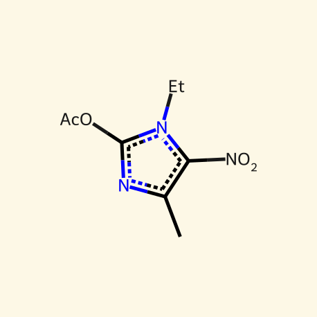 CCn1c(OC(C)=O)nc(C)c1[N+](=O)[O-]